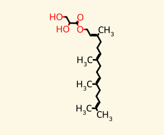 CC(C)=CCC/C(C)=C/CC/C(C)=C/CCC(C)=CCOC(=O)C(O)CO